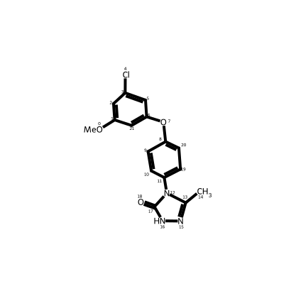 COc1cc(Cl)cc(Oc2ccc(-n3c(C)n[nH]c3=O)cc2)c1